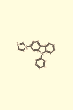 c1ccc(-n2c3ccccc3c3ccc(-n4ccnc4)cc32)cc1